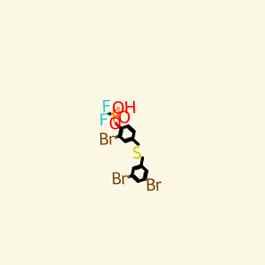 O=P(O)(Oc1ccc(CSCc2cc(Br)cc(Br)c2)cc1Br)C(F)F